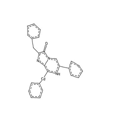 O=c1c(Cc2ccccc2)nc2[c]([Cd][c]3ccccc3)[nH]c(-c3ccccc3)cn1-2